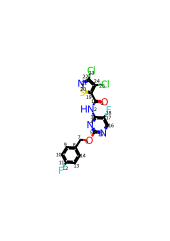 O=C(Nc1nc(OCc2ccc(F)cc2)ncc1F)c1snc(Cl)c1Cl